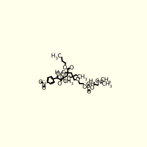 CCCCOC(=O)C(C)(CC(C)(CC)COCCOP(=O)(O)OCC[N+](C)(C)C)CC(C)(C)C(=O)C(=O)c1ccc([N+](=O)[O-])cc1